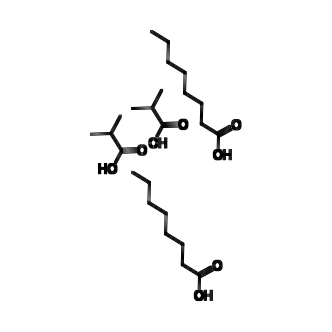 CC(C)C(=O)O.CC(C)C(=O)O.CCCCCCCC(=O)O.CCCCCCCC(=O)O